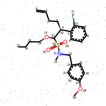 C=CCC[C@@H](c1ccccc1F)C(OCCCC)S(=O)(=O)N(C)Cc1ccc(OC)cc1